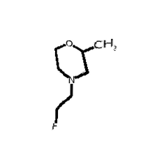 CC1CN(CCF)CCO1